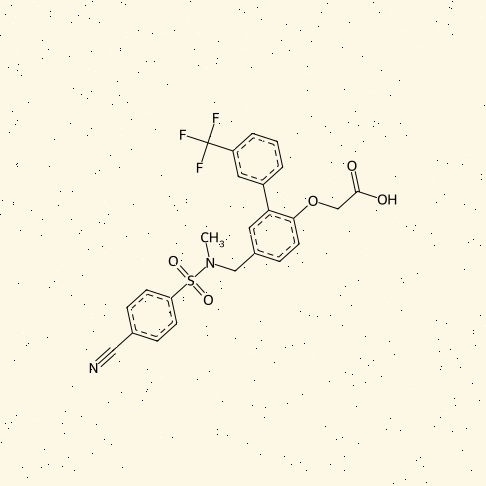 CN(Cc1ccc(OCC(=O)O)c(-c2cccc(C(F)(F)F)c2)c1)S(=O)(=O)c1ccc(C#N)cc1